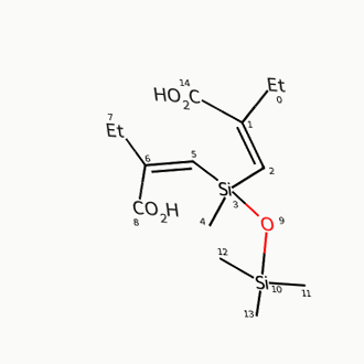 CCC(=C[Si](C)(C=C(CC)C(=O)O)O[Si](C)(C)C)C(=O)O